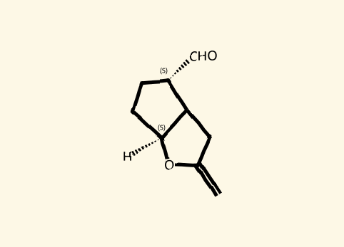 C=C1CC2[C@H](CC[C@@H]2C=O)O1